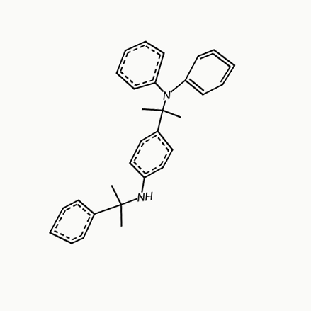 CC(C)(Nc1ccc(C(C)(C)N(C2=CC=C=C=C2)c2ccccc2)cc1)c1ccccc1